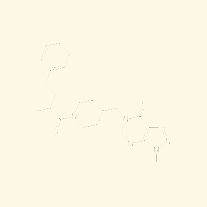 CC(CCc1ccccc1)C(=O)N1CCC(Cn2cnc3c(cnn3C)c2=O)CC1